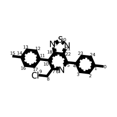 Cc1ccc(-c2nc(CCl)c(-c3ccc(C)cc3)c3nsnc23)cc1